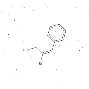 OC/C(Br)=C\c1ccccc1